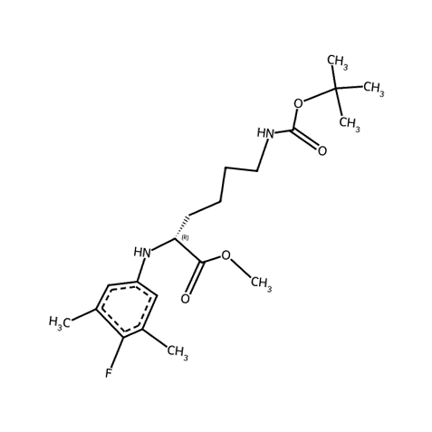 COC(=O)[C@@H](CCCCNC(=O)OC(C)(C)C)Nc1cc(C)c(F)c(C)c1